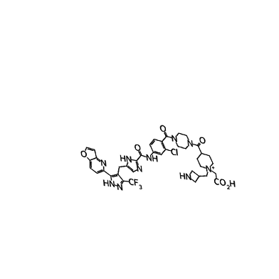 O=C(O)C[N+]1(CC2CNC2)CCC(C(=O)N2CCN(C(=O)c3ccc(NC(=O)c4ncc(Cc5c(C(F)(F)F)n[nH]c5-c5ccc6occc6n5)[nH]4)cc3Cl)CC2)CC1